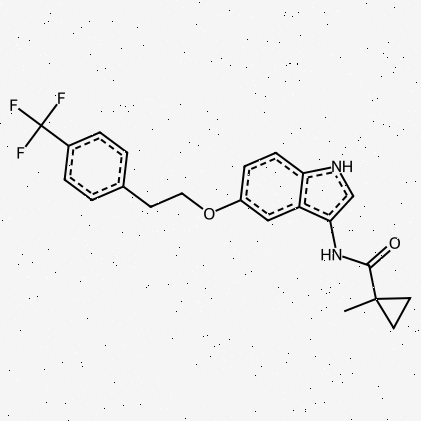 CC1(C(=O)Nc2c[nH]c3ccc(OCCc4ccc(C(F)(F)F)cc4)cc23)CC1